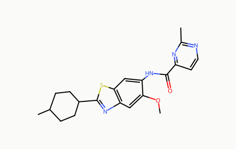 COc1cc2nc(C3CCC(C)CC3)sc2cc1NC(=O)c1ccnc(C)n1